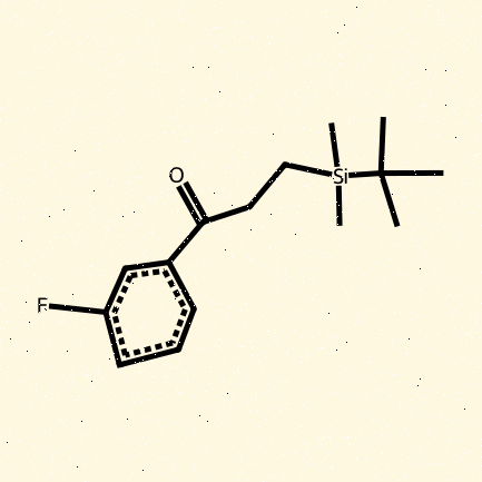 CC(C)(C)[Si](C)(C)CCC(=O)c1cccc(F)c1